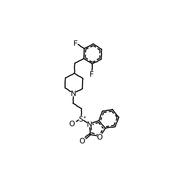 O=c1oc2ccccc2n1[S+]([O-])CCN1CCC(Cc2c(F)cccc2F)CC1